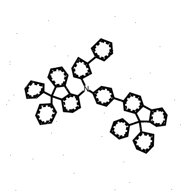 c1ccc(-c2cccc(N(c3ccc(-c4ccc5c(c4)C(c4ccccc4)(c4ccccc4)c4ccccc4-5)cc3)c3cccc4c3-c3ccccc3C4(c3ccccc3)c3ccccc3)c2)cc1